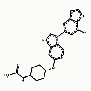 CC(=O)N[C@H]1CC[C@H](Nc2ncc3c(-c4cc(F)c5nccn5c4)c[nH]c3n2)CC1